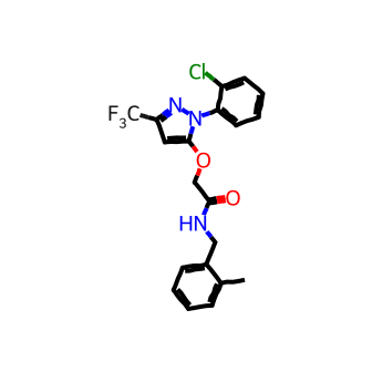 Cc1ccccc1CNC(=O)COc1cc(C(F)(F)F)nn1-c1ccccc1Cl